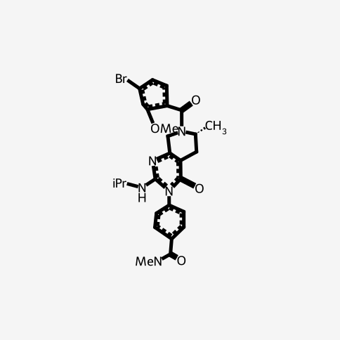 CNC(=O)c1ccc(-n2c(NC(C)C)nc3c(c2=O)C[C@@H](C)N(C(=O)c2ccc(Br)cc2OC)C3)cc1